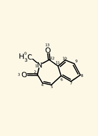 Cn1c(=O)ccc2ccccc2c1=O